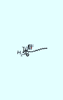 CCCCCCCCCCCCCCCCCCC1C(C)=[C]([Ti+3])C(C(C)CC)=C1[SiH2]c1ccccc1.[Cl-].[Cl-].[Cl-]